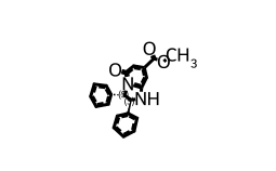 COC(=O)c1cc2n(c(=O)c1)[C@@H](c1ccccc1)[C@H](c1ccccc1)N2